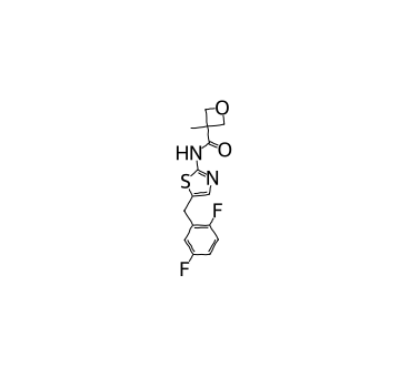 CC1(C(=O)Nc2ncc(Cc3cc(F)ccc3F)s2)COC1